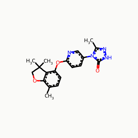 Cc1ccc(Oc2ccc(-n3c(C)n[nH]c3=O)cn2)c2c1OCC2(C)C